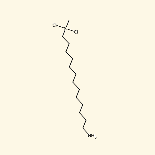 C[Si](Cl)(Cl)CCCCCCCCCCCCCN